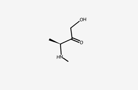 CN[C@@H](C)C(=O)CO